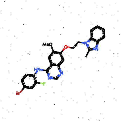 COc1cc2c(Nc3ccc(Br)cc3F)ncnc2cc1OCCn1c(C)nc2ccccc21